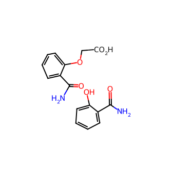 NC(=O)c1ccccc1O.NC(=O)c1ccccc1OCC(=O)O